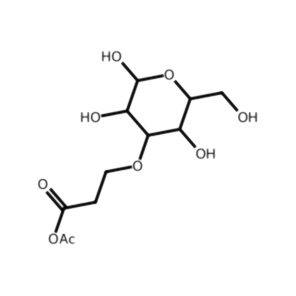 CC(=O)OC(=O)CCOC1C(O)C(O)OC(CO)C1O